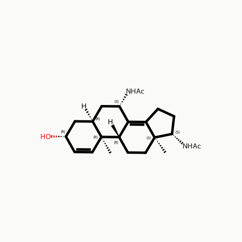 CC(=O)N[C@H]1C[C@@H]2C[C@@H](O)C=C[C@]2(C)[C@H]2CC[C@@]3(C)C(=C12)CC[C@@H]3NC(C)=O